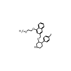 COCCOc1cc(COC2CNCCC2c2ccc(F)cc2)cc2ccccc12